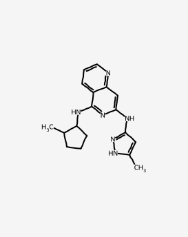 Cc1cc(Nc2cc3ncccc3c(NC3CCCC3C)n2)n[nH]1